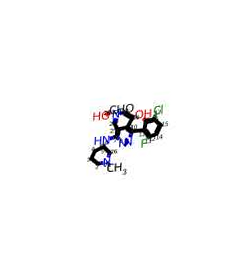 CN1CCC[C@@H](Nc2nnc(-c3c(F)ccc(Cl)c3O)c3ccncc23)C1.O=CO